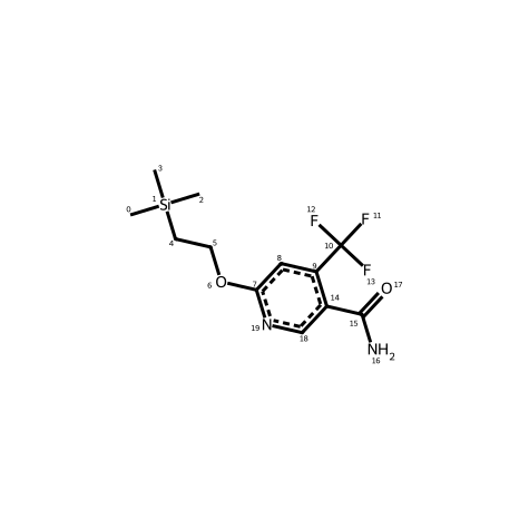 C[Si](C)(C)CCOc1cc(C(F)(F)F)c(C(N)=O)cn1